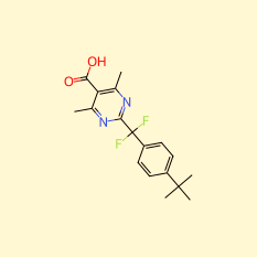 Cc1nc(C(F)(F)c2ccc(C(C)(C)C)cc2)nc(C)c1C(=O)O